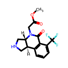 COC(=O)CN1C(=O)c2c(cccc2C(F)(F)F)[C@H]2CNC[C@@H]21